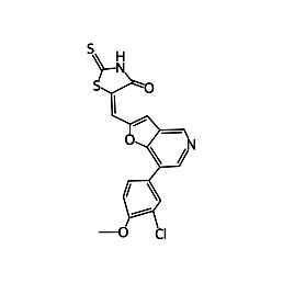 COc1ccc(-c2cncc3cc(C=C4SC(=S)NC4=O)oc23)cc1Cl